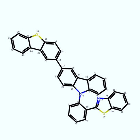 c1ccc(-n2c3ccccc3c3cc(-c4ccc5sc6ccccc6c5c4)ccc32)c(-c2nc3ccccc3s2)c1